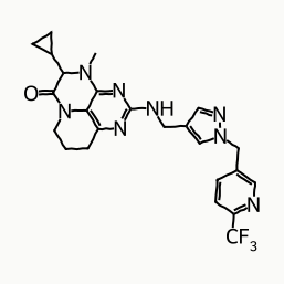 CN1c2nc(NCc3cnn(Cc4ccc(C(F)(F)F)nc4)c3)nc3c2N(CCC3)C(=O)C1C1CC1